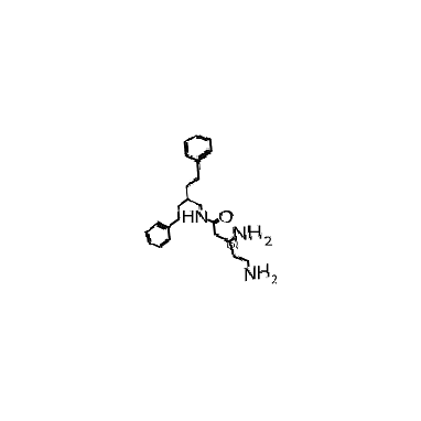 NCC[C@H](N)CC(=O)NCC(CCc1ccccc1)CCc1ccccc1